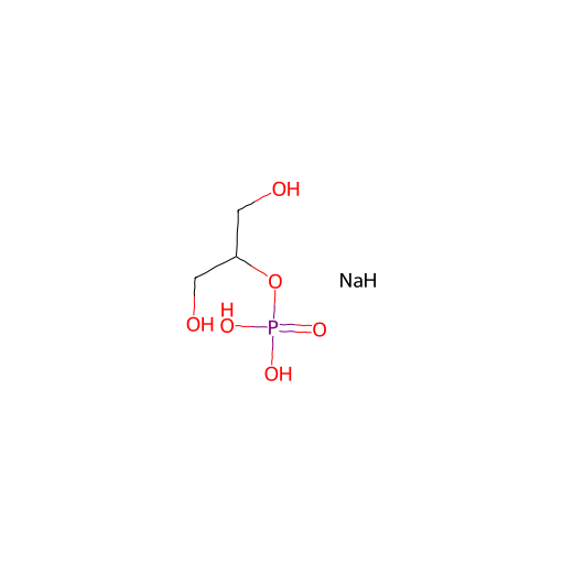 O=P(O)(O)OC(CO)CO.[NaH]